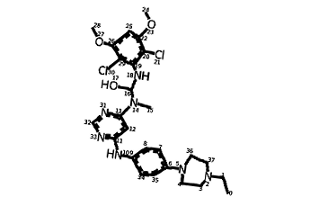 CCN1CCN(c2ccc(Nc3cc(N(C)C(O)Nc4c(Cl)c(OC)cc(OC)c4Cl)ncn3)cc2)CC1